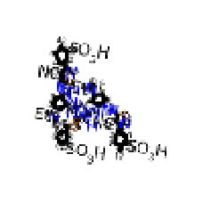 CCN(CC)c1ccc(/N=N/c2snc(-c3ccc(C)c(S(=O)(=O)O)c3)c2C#N)c(Nc2nc(Nc3cc(N(CC)CC)ccc3/N=N/c3snc(-c4ccc(C)c(S(=O)(=O)O)c4)c3C#N)nc(SCc3cccc(S(=O)(=O)O)c3)n2)c1